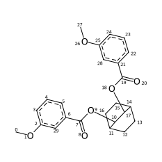 COc1cccc(C(=O)OC2C3CCC(CC3)C2OC(=O)c2cccc(OC)c2)c1